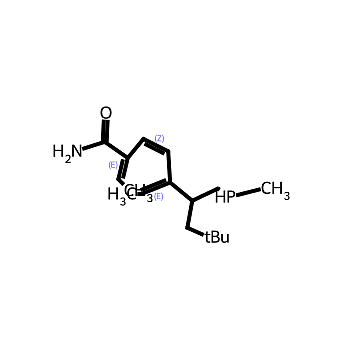 C\C=C(/C=C\C(=C/C)C(CPC)CC(C)(C)C)C(N)=O